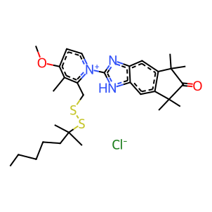 CCCCCC(C)(C)SSCc1c(C)c(OC)cc[n+]1-c1nc2cc3c(cc2[nH]1)C(C)(C)C(=O)C3(C)C.[Cl-]